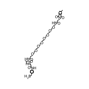 BCc1ccc(NC(=O)CNC(=O)C(NC(=O)CCOCCOCCOCCOCCOCCOCCOCCOCCNC(=O)CCN2C(=O)C3C4C=C(C)C(C4)C3C2=O)C(C)C)cc1